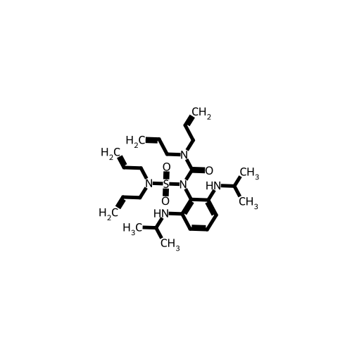 C=CCN(CC=C)C(=O)N(c1c(NC(C)C)cccc1NC(C)C)S(=O)(=O)N(CC=C)CC=C